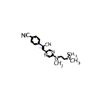 CN(C)CCN(C)c1cnc(/C=C(\C#N)c2ccc(C#N)cc2)cn1